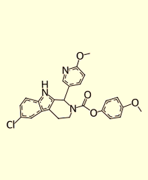 COc1ccc(OC(=O)N2CCc3c([nH]c4ccc(Cl)cc34)C2c2ccc(OC)nc2)cc1